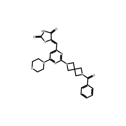 O=C1NC(=O)/C(=C/c2cc(N3CCOCC3)nc(N3CC4(CN(C(=O)c5ccccc5)C4)C3)n2)S1